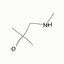 CNCC(C)(C)[O]